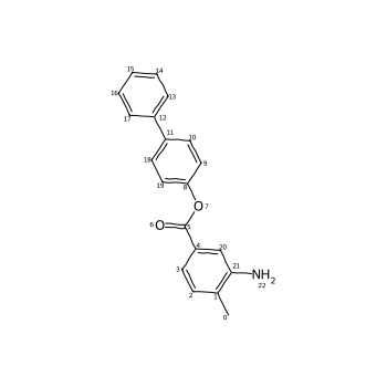 Cc1ccc(C(=O)Oc2ccc(-c3ccccc3)cc2)cc1N